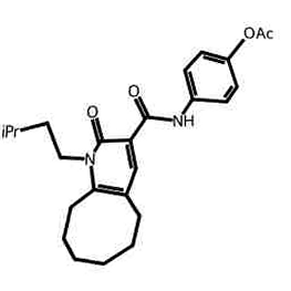 CC(=O)Oc1ccc(NC(=O)c2cc3c(n(CCC(C)C)c2=O)CCCCCC3)cc1